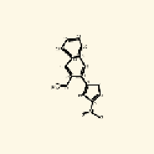 CN(C)C1=CCC(c2cc3ccccc3cc2C=O)=C1